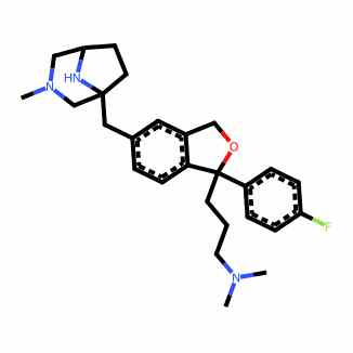 CN(C)CCCC1(c2ccc(F)cc2)OCc2cc(CC34CCC(CN(C)C3)N4)ccc21